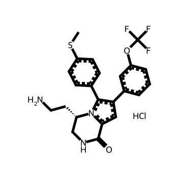 CSc1ccc(-c2c(-c3cccc(OC(F)(F)F)c3)cc3n2[C@@H](CCN)CNC3=O)cc1.Cl